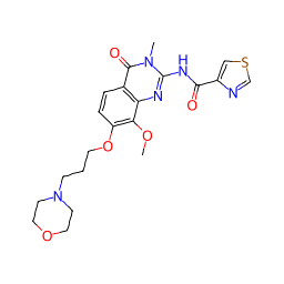 COc1c(OCCCN2CCOCC2)ccc2c(=O)n(C)c(NC(=O)c3cscn3)nc12